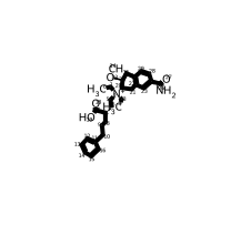 CC[N+](CC)(CC[C@H](CCCc1ccccc1)C(=O)O)[C@H]1Cc2cc(C(N)=O)ccc2C[C@@H]1OC